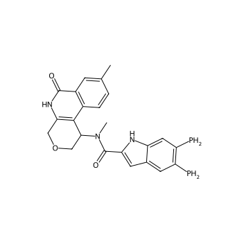 Cc1ccc2c3c([nH]c(=O)c2c1)COCC3N(C)C(=O)c1cc2cc(P)c(P)cc2[nH]1